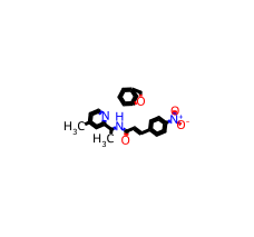 Cc1ccnc(C(C)NC(=O)C=Cc2ccc([N+](=O)[O-])cc2)c1.c1cc2cc(c1)OC2